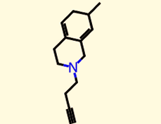 C#CCCN1CCC2=CCC(C)C=C2C1